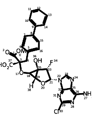 COC(=O)[C@](Cc1ccc(-c2ccccc2)cc1)(OC1[C@H]2O[C@@H](n3cnc4c(N)nc(Cl)nc43)[C@@H](F)[C@@]12O)C(=O)O